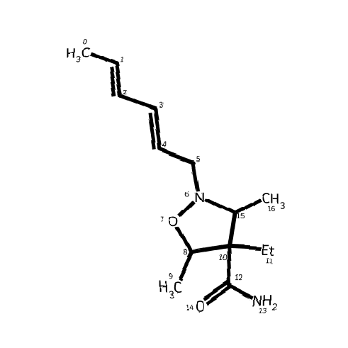 CC=CC=CCN1OC(C)C(CC)(C(N)=O)C1C